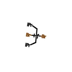 CC(C)[CH2][Hf]([Br])([Br])[CH2]C(C)C